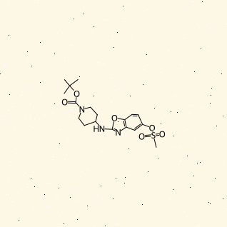 CC(C)(C)OC(=O)N1CCC(Nc2nc3cc(OS(C)(=O)=O)ccc3o2)CC1